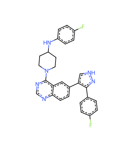 Fc1ccc(NC2CCN(c3ncnc4ccc(-c5c[nH]nc5-c5ccc(F)cc5)cc34)CC2)cc1